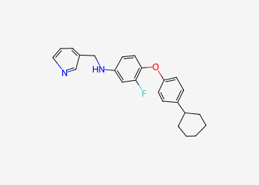 Fc1cc(NCc2cccnc2)ccc1Oc1ccc(C2CCCCC2)cc1